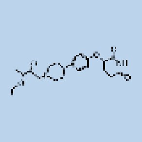 CCOC(C)C(=O)CN1CCC(c2ccc(OC3CCC(=O)NC3=O)cc2)CC1